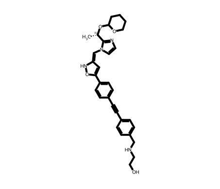 C[C@H](OC1CCCCO1)c1nccn1C=C1C=C(c2ccc(C#Cc3ccc(CNCCO)cc3)cc2)ON1